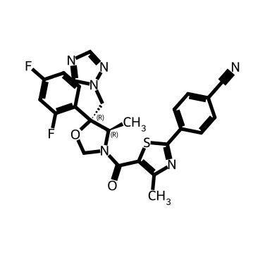 Cc1nc(-c2ccc(C#N)cc2)sc1C(=O)N1CO[C@@](Cn2cncn2)(c2ccc(F)cc2F)[C@H]1C